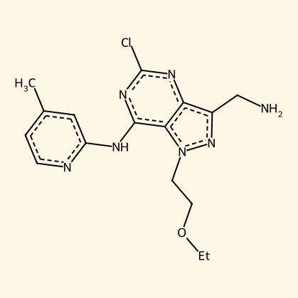 CCOCCn1nc(CN)c2nc(Cl)nc(Nc3cc(C)ccn3)c21